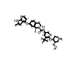 COC[C@@H]1CN(C)CC[C@H]1Oc1ncc(NC(=O)N2CCc3ccc(Oc4ccnc5[nH]c(C)cc45)cc3[C@@H]2C)cc1C(F)(F)F